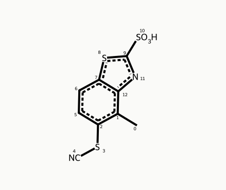 Cc1c(SC#N)ccc2sc(S(=O)(=O)O)nc12